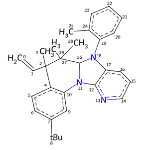 C=CC1(C)c2ccc(C(C)(C)C)cc2N2c3ncccc3N(c3ccccc3C)C2C1(C)C